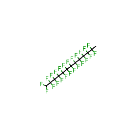 CC(F)(F)C(F)(F)C(F)(F)C(F)(F)C(F)(F)C(F)(F)C(F)(F)C(F)(F)C(F)(F)C(F)(F)C(F)(F)[C](F)F